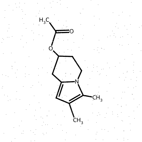 CC(=O)OC1CCn2c(cc(C)c2C)C1